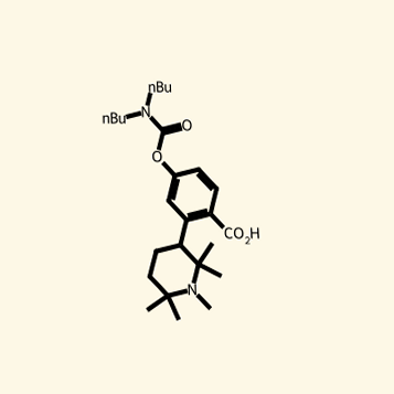 CCCCN(CCCC)C(=O)Oc1ccc(C(=O)O)c(C2CCC(C)(C)N(C)C2(C)C)c1